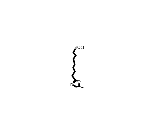 CCCCCCCCCCCCCCCC1=NC[C@H](C)O1